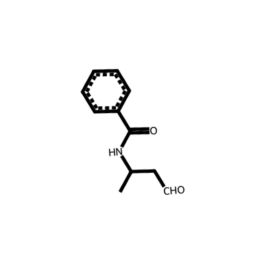 CC(CC=O)NC(=O)c1ccccc1